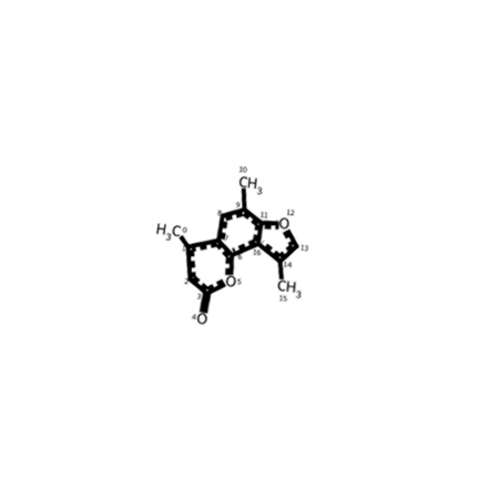 Cc1cc(=O)oc2c1cc(C)c1occ(C)c12